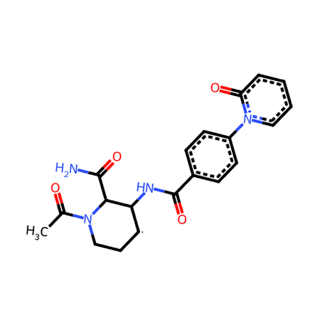 CC(=O)N1CC[CH]C(NC(=O)c2ccc(-n3ccccc3=O)cc2)C1C(N)=O